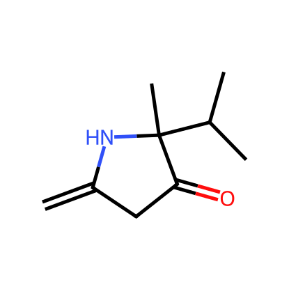 C=C1CC(=O)C(C)(C(C)C)N1